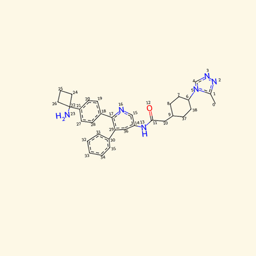 Cc1nncn1C1CCC(CC(=O)Nc2cnc(-c3ccc(C4(N)CCC4)cc3)c(-c3ccccc3)c2)CC1